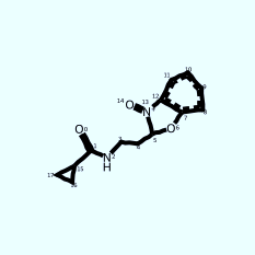 O=C(NCCC1Oc2ccccc2[N+]1=O)C1CC1